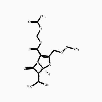 COOCC1=C(C(=O)OCOC(C)=O)N2C(=O)C(C(C)O)[C@@H]2S1